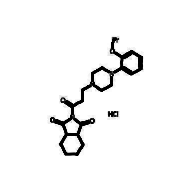 CC(C)Oc1ccccc1N1CCN(CCC(=O)N2C(=O)C3CCCCC3C2=O)CC1.Cl